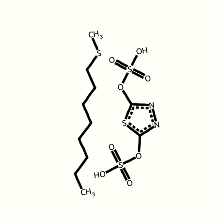 CCCCCCCCSC.O=S(=O)(O)Oc1nnc(OS(=O)(=O)O)s1